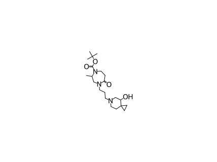 CC1CN(CCCN2CCC3(CC3)C(O)C2)C(=O)CCN1C(=O)OC(C)(C)C